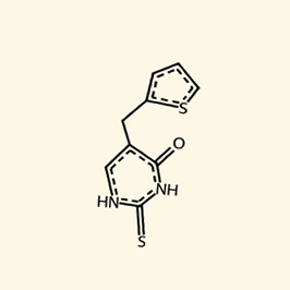 O=c1[nH]c(=S)[nH]cc1Cc1cccs1